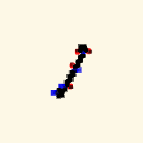 O=C(CCCCCN1C(=O)C=CC1=O)NCCCCCC(=O)NC[C@H]1CCNC1